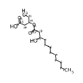 CCCCCCCCCC(O)CC(=O)OC(CC)CC(=O)O